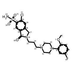 COc1ccc(F)cc1N1CCN(CCCN2Cc3cc(Cl)c(S(N)(=O)=O)cc3C2=O)CC1